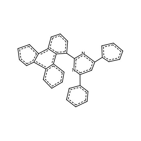 c1ccc(-c2cc(-c3ccccc3)nc(-c3cccc4c5ccccc5c5ccccc5c34)n2)cc1